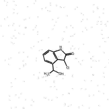 CC(O)c1cccc2c1C(Cl)C(=O)N2